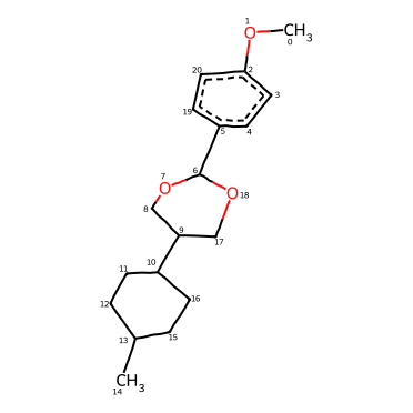 COc1ccc(C2OCC(C3CCC(C)CC3)CO2)cc1